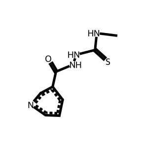 CNC(=S)NNC(=O)c1cccnc1